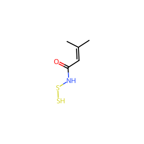 CC(C)=CC(=O)NSS